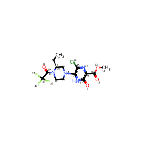 CC[C@H]1CN(c2[nH]c(=O)c(C(=O)OC)nc2Cl)CCN1C(=O)C(F)(F)F